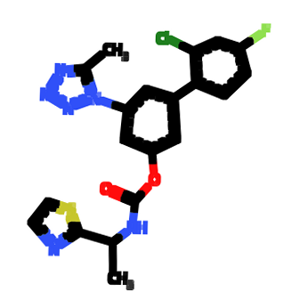 Cc1nnnn1-c1cc(OC(=O)NC(C)c2nccs2)cc(-c2ccc(F)cc2Cl)c1